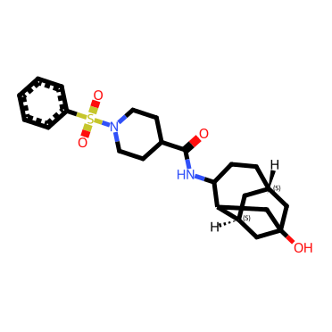 O=C(NC1CC[C@H]2C[C@H]3CC(O)(CC13)C2)C1CCN(S(=O)(=O)c2ccccc2)CC1